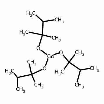 CC(C)C(C)(C)[O][Gd]([O]C(C)(C)C(C)C)[O]C(C)(C)C(C)C